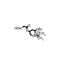 CCCCCCCCCCCC(=O)OC(CCCCCCCCCCC)CC(CCCC)O[SiH](C)C